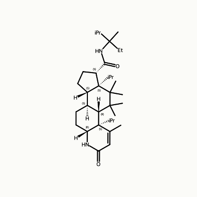 CCC(C)(NC(=O)[C@H]1CC[C@H]2[C@@H]3CC[C@H]4NC(=O)C=C(C)[C@]4(C(C)C)[C@H]3C(C)(C)C(C)(C)[C@]12C(C)C)C(C)C